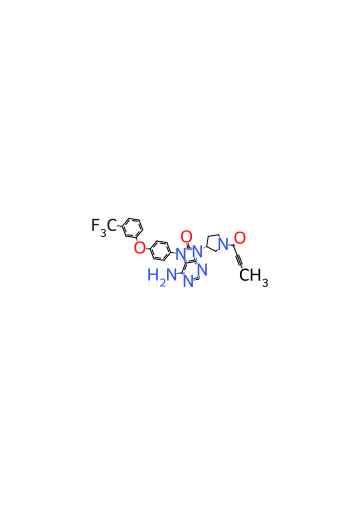 CC#CC(=O)N1CC[C@@H](n2c(=O)n(-c3ccc(Oc4cccc(C(F)(F)F)c4)cc3)c3c(N)ncnc32)C1